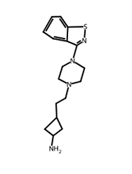 NC1CC(CCN2CCN(c3nsc4ccccc34)CC2)C1